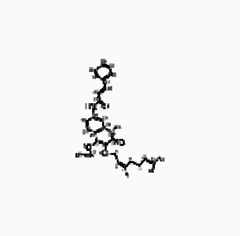 CCCCCCOc1c(OCC=C(C)CCC=C(C)C)c(=O)n(C)c2cc(NC(=O)C=Cc3ccccc3)ccc12